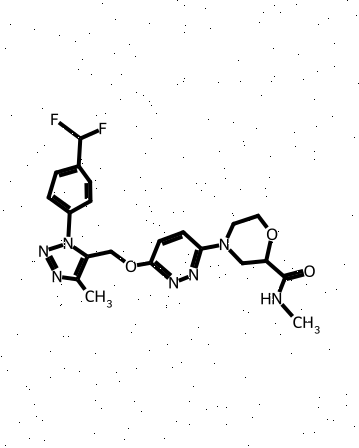 CNC(=O)C1CN(c2ccc(OCc3c(C)nnn3-c3ccc(C(F)F)cc3)nn2)CCO1